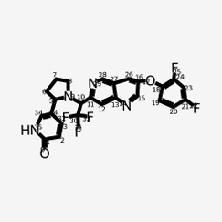 O=c1ccc(C2CCCN2C(c2cc3ncc(Oc4ccc(F)cc4F)cc3cn2)C(F)(F)F)c[nH]1